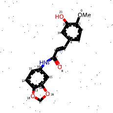 COc1ccc(/C=C/C(=O)Nc2ccc3c(c2)OCO3)cc1O